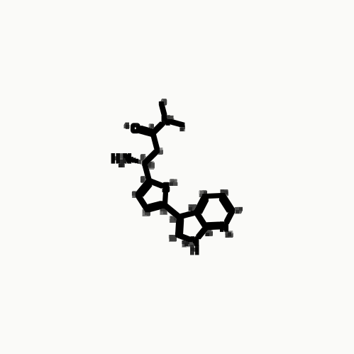 CN(C)C(=O)C[C@@H](N)c1ccc(-c2c[nH]c3ncccc23)s1